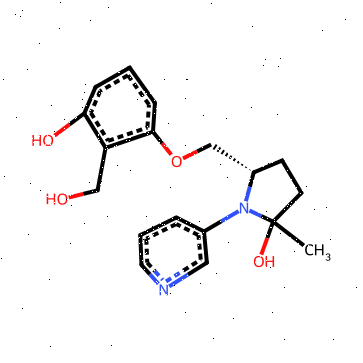 CC1(O)CC[C@@H](COc2cccc(O)c2CO)N1c1cccnc1